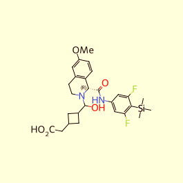 COc1ccc2c(c1)CCN(C(O)C1CC(CC(=O)O)C1)[C@H]2C(=O)Nc1cc(F)c([Si](C)(C)C)c(F)c1